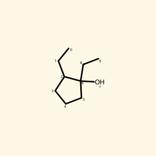 CCC1CCCC1(O)CC